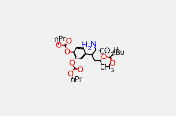 CCCOC(=O)Oc1ccc(C(CC(C)OC(=O)C(C)(C)C)[C@H](N)C(=O)O)cc1OC(=O)OCCC